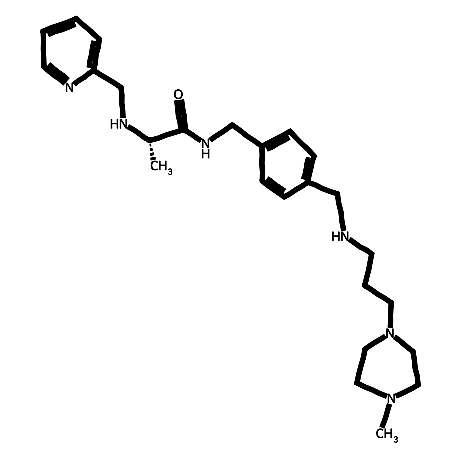 C[C@H](NCc1ccccn1)C(=O)NCc1ccc(CNCCCN2CCN(C)CC2)cc1